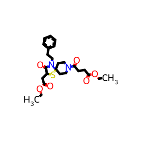 CCOC(=O)CCC(=O)N1CCC2(CC1)SC(CC(=O)OCC)C(=O)N2CCc1ccccc1